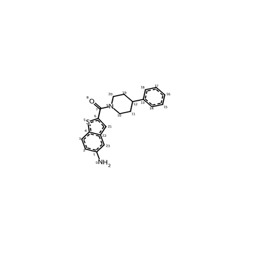 Nc1ccc2sc(C(=O)N3CCC(c4ccccc4)CC3)cc2c1